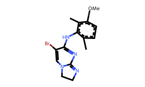 COc1ccc(C)c(NC2=NC3=NCCN3C=C2Br)c1C